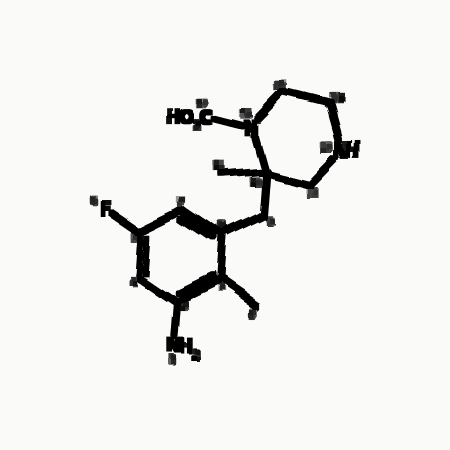 Cc1c(N)cc(F)cc1CC1(C)CNCCN1C(=O)O